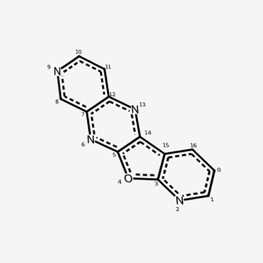 c1cnc2oc3nc4cnccc4nc3c2c1